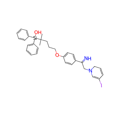 CC(C)(CCCOc1ccc(C(=N)CN2C=C(I)C=CC2)cc1)[Si](O)(c1ccccc1)c1ccccc1